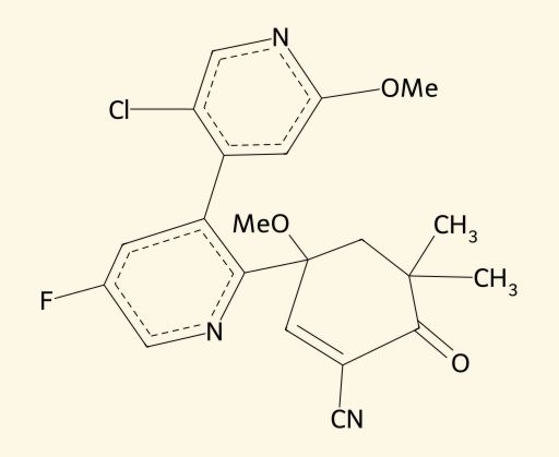 COc1cc(-c2cc(F)cnc2C2(OC)C=C(C#N)C(=O)C(C)(C)C2)c(Cl)cn1